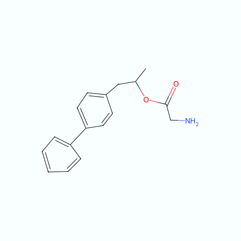 CC(Cc1ccc(-c2ccccc2)cc1)OC(=O)CN